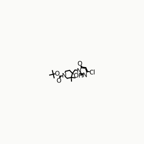 CC(C)(C)OC(=O)N1CC[C@](O)(Cn2cnc(Cl)cc2=O)C(C)(C)C1